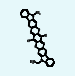 CCn1c2ccccc2c2cc3c(cc21)Oc1c(Cl)c2c(c(Cl)c1=N3)Oc1cc3c(cc1N=2)c1ccccc1n3C